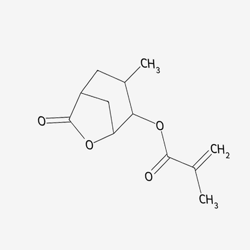 C=C(C)C(=O)OC1C(C)CC2CC1OC2=O